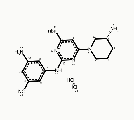 CCCCc1cc(N2CCC[C@@H](N)C2)nc(Nc2cc(N)cc(C#N)c2)n1.Cl.Cl